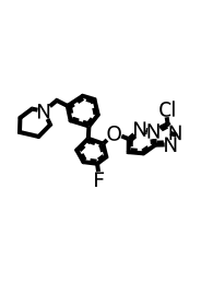 Fc1ccc(-c2cccc(CN3CCCCC3)c2)c(Oc2ccc3nnc(Cl)n3n2)c1